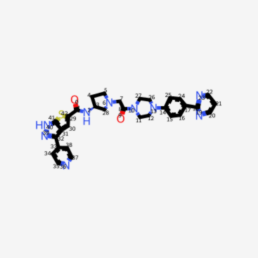 O=C(N[C@H]1CCN(CC(=O)N2CCN(c3ccc(-c4ncccn4)cc3)CC2)C1)c1cc2c(-c3ccncc3)n[nH]c2s1